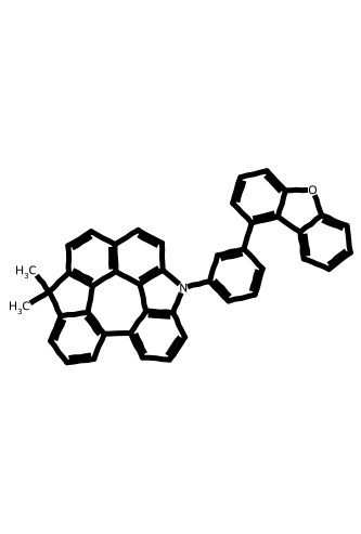 CC1(C)c2cccc3c2-c2c1ccc1ccc4c(c21)c1c-3cccc1n4-c1cccc(-c2cccc3oc4ccccc4c23)c1